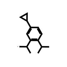 [CH2]C(C)c1cc(C2CC2)ccc1C(C)C